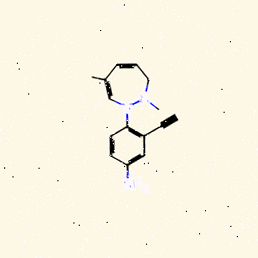 C#Cc1cc(N)ccc1N1C=C(C(F)(F)F)C=CCN1C